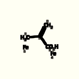 C=C(C)C(=O)O.[Fe].[Fe]